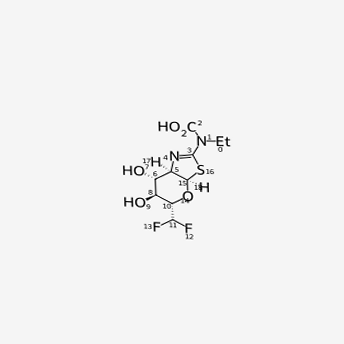 CCN(C(=O)O)C1=N[C@@H]2[C@@H](O)[C@H](O)[C@@H](C(F)F)O[C@@H]2S1